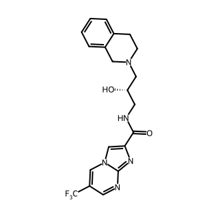 O=C(NC[C@H](O)CN1CCc2ccccc2C1)c1cn2cc(C(F)(F)F)cnc2n1